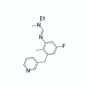 CCN(C)/C=N/c1cc(F)cc(Cc2cccnc2)c1C